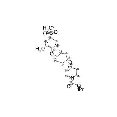 Cc1nc(S(C)(=O)=O)cnc1OC1CCC(OC2CCN(C(=O)OC(C)C)CC2)CC1